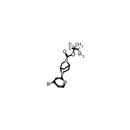 CC(C)(C)OC(=O)N1CC2CC1CN2c1cc(Br)ccn1